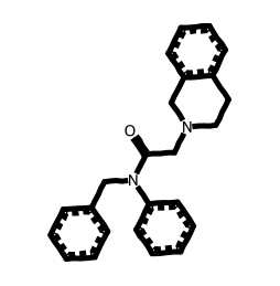 O=C(CN1CCc2ccccc2C1)N(Cc1ccccc1)c1ccccc1